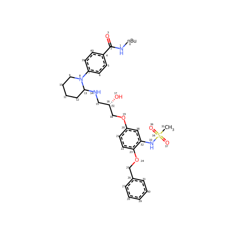 CCCCNC(=O)c1ccc(N2CCCCC2NC[C@H](O)COc2ccc(OCc3ccccc3)c(NS(C)(=O)=O)c2)cc1